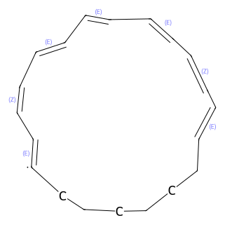 [C]1=C/C=C\C=C\C=C\C=C\C=C/C=C/CCCCCC/1